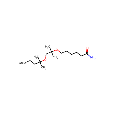 COCCC(C)(C)OCC(C)(C)OCCCCCC(N)=O